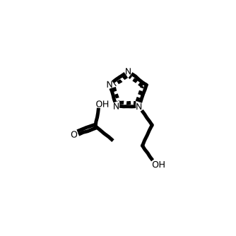 CC(=O)O.OCCn1cnnn1